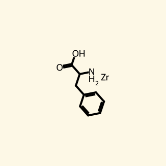 NC(Cc1ccccc1)C(=O)O.[Zr]